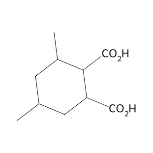 CC1CC(C)C(C(=O)O)C(C(=O)O)C1